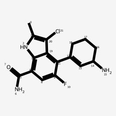 Cc1[nH]c2c(C(N)=O)cc(F)c(C3=CC(N)CCC3)c2c1Cl